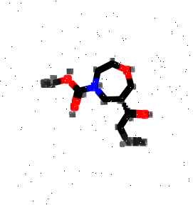 CC(=O)NCC(=O)[C@H]1COCCN(C(=O)OC(C)(C)C)C1